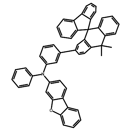 CC1(C)c2ccccc2C2(c3ccccc3-c3ccccc32)c2cc(-c3cccc(N(c4ccccc4)c4ccc5c(c4)oc4ccccc45)c3)ccc21